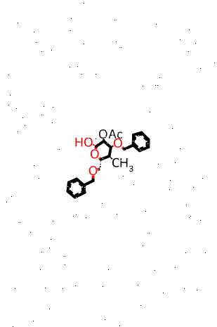 CC(=O)O[C@H]1[C@@H](OCc2ccccc2)[C@H](C)[C@H](COCc2ccccc2)O[C@@H]1O